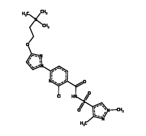 Cc1nn(C)cc1S(=O)(=O)NC(=O)c1ccc(-n2ccc(OCC[Si](C)(C)C)n2)nc1Cl